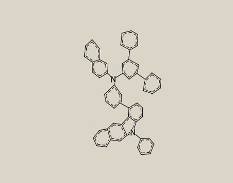 c1ccc(-c2cc(-c3ccccc3)cc(N(c3cccc(-c4cccc5c4c4cc6ccccc6cc4n5-c4ccccc4)c3)c3ccc4ccccc4c3)c2)cc1